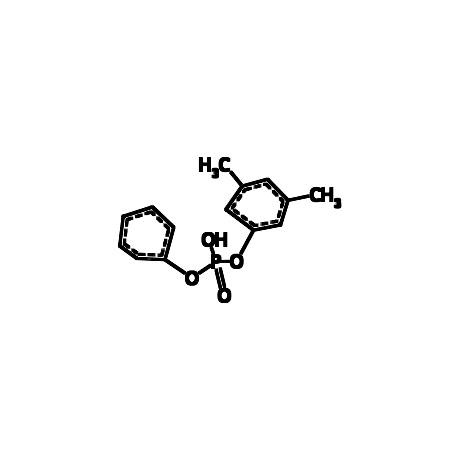 Cc1cc(C)cc(OP(=O)(O)Oc2ccccc2)c1